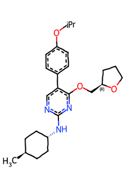 CC(C)Oc1ccc(-c2cnc(N[C@H]3CC[C@H](C)CC3)nc2OC[C@H]2CCCO2)cc1